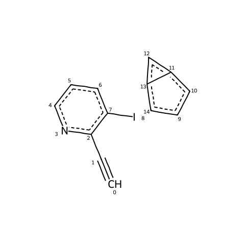 C#Cc1ncccc1I.c1cc2cc-2c1